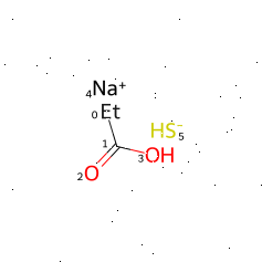 CCC(=O)O.[Na+].[SH-]